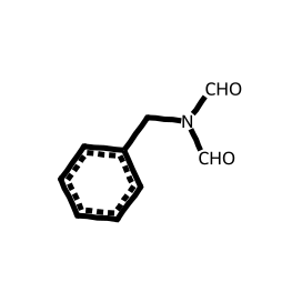 O=CN(C=O)Cc1ccccc1